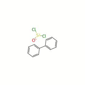 [O-][S+](Cl)Cl.c1ccc(-c2ccccc2)cc1